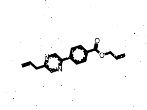 C=CCOC(=O)c1ccc(-c2cnc(CC=C)cn2)cc1